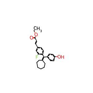 CCOC(=O)C=Cc1ccc(C(=C2CCCCCC2)c2ccc(O)cc2)c(F)c1